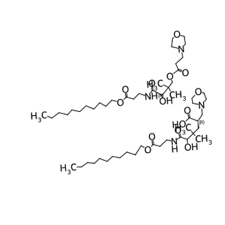 CCCCCCCCCCCOC(=O)CCNC(=O)C(O)C(C)(C)C[C@H](CN1CCOCC1)C(=O)O.CCCCCCCCCCCOC(=O)CCNC(=O)[C@H](O)C(C)(C)COC(=O)CCN1CCOCC1